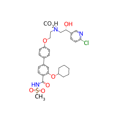 CS(=O)(=O)NC(=O)c1ccc(-c2ccc(OCCN(C[C@H](O)c3ccc(Cl)nc3)C(=O)O)cc2)cc1OC1CCCCC1